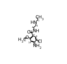 CCNCCNC(=O)c1cc(Cl)c(N)cc1OC